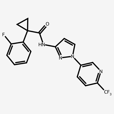 O=C(Nc1ccn(-c2ccc(C(F)(F)F)nc2)n1)C1(c2ccccc2F)CC1